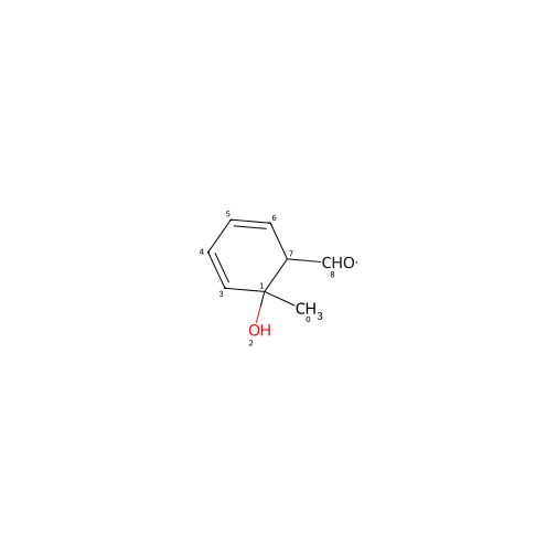 CC1(O)C=CC=CC1[C]=O